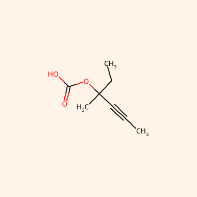 CC#CC(C)(CC)OC(=O)O